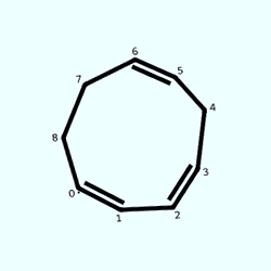 [C]1=CC=CCC=CCC1